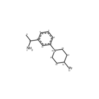 CC(N)c1cccc(N2CCC(C(C)C)CC2)c1